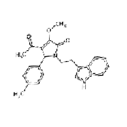 COC1=C(C(C)=O)C(c2ccc(C)cc2)N(CCc2c[nH]c3ccccc23)C1=O